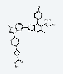 CCOC(=O)[C@@H](OC(C)(C)C)c1c(C)cc2nc(-c3cnc4c(c3)c(C3CCN(C5CN(C(=O)OC(C)(C)C)C5)CC3)nn4C)sc2c1-c1ccc(Cl)cc1